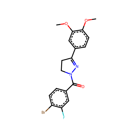 COc1ccc(C2=NN(C(=O)c3ccc(Br)c(F)c3)CC2)cc1OC